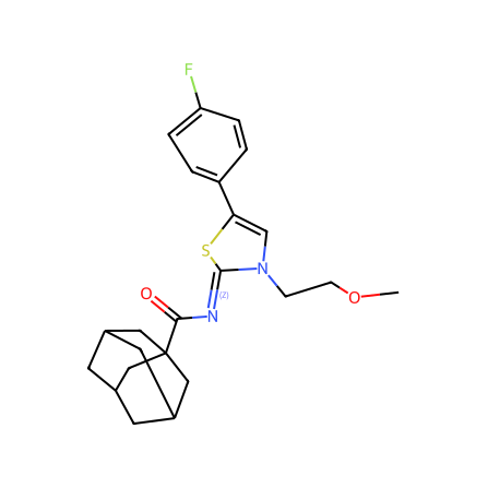 COCCn1cc(-c2ccc(F)cc2)s/c1=N\C(=O)C12CC3CC(CC(C3)C1)C2